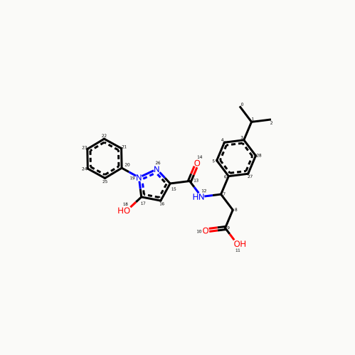 CC(C)c1ccc(C(CC(=O)O)NC(=O)c2cc(O)n(-c3ccccc3)n2)cc1